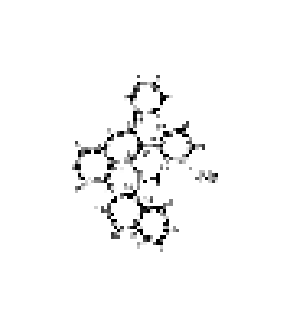 [Na].c1ccc(-c2cc3ccccc3c(Nc3cccc4ccccc34)c2-c2ccccc2)cc1